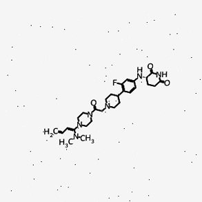 C=C/C=C(\N(C)C)N1CCN(C(=O)CN2CCC(c3ccc(N[C@H]4CCC(=O)NC4=O)cc3F)CC2)CC1